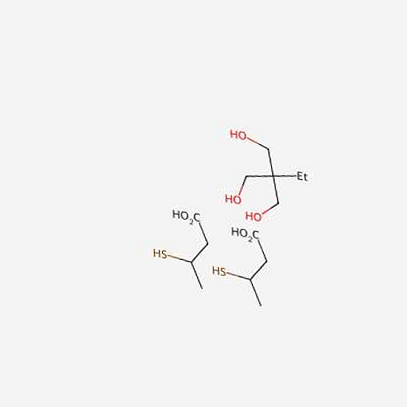 CC(S)CC(=O)O.CC(S)CC(=O)O.CCC(CO)(CO)CO